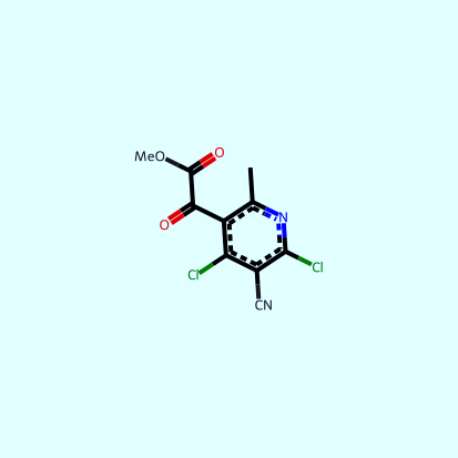 COC(=O)C(=O)c1c(C)nc(Cl)c(C#N)c1Cl